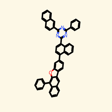 c1ccc(-c2nc(-c3ccc4ccccc4c3)nc(-c3ccc(-c4ccc5c(c4)oc4c(-c6ccccc6)c6ccccc6cc45)c4ccccc34)n2)cc1